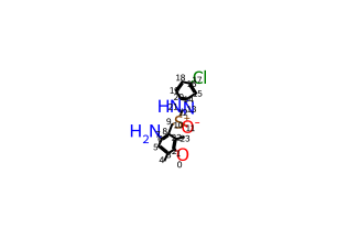 COc1c(C)cc(N)c(C[S+]([O-])c2nc3cc(Cl)ccc3[nH]2)c1C